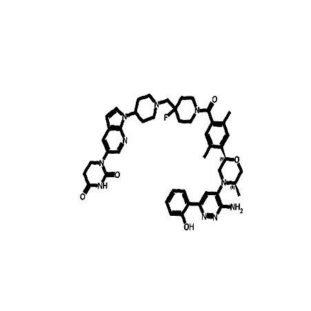 Cc1cc([C@@H]2CN(c3cc(-c4ccccc4O)nnc3N)[C@H](C)CO2)c(C)cc1C(=O)N1CCC(F)(CN2CCC(n3ccc4cc(N5CCC(=O)NC5=O)cnc43)CC2)CC1